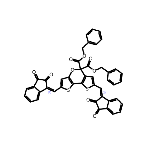 O=C1C(=O)c2ccccc2/C1=C/c1cc2c(s1)-c1sc(/C=C3\C(=O)C(=O)c4ccccc43)cc1C(C(=O)OCc1ccccc1)(C(=O)OCc1ccccc1)O2